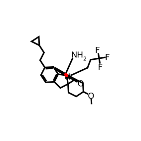 COC1CCC2(CC1)Cc1ccc(CCC3CC3)cc1C21N=C(N)N(CCC(F)(F)F)C1=O